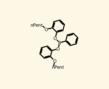 CCCCCOc1ccccc1OB(Oc1ccccc1OCCCCC)c1ccccc1